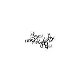 Cc1cc([C@H](CC(=O)O)NC(=O)CNC(=O)c2cc(NC3=NCC(F)CN3)cc3[nH]ncc23)cc(C(F)(F)F)c1